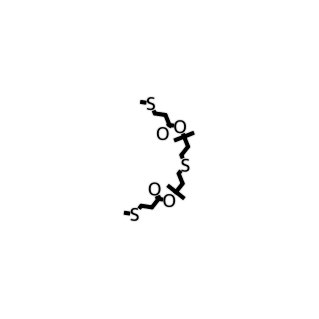 CSCCC(=O)OC(C)(C)CCSCCC(C)(C)OC(=O)CCSC